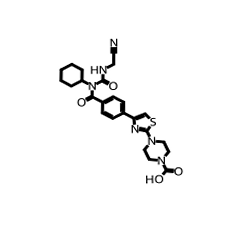 N#CCNC(=O)N(C(=O)c1ccc(-c2csc(N3CCN(C(=O)O)CC3)n2)cc1)C1CCCCC1